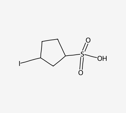 O=S(=O)(O)C1CCC(I)C1